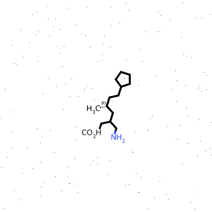 C[C@H](CCC1CCCC1)CC(CN)CC(=O)O